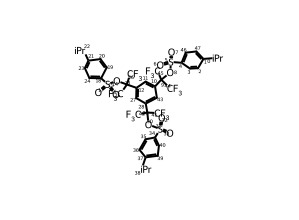 CC(C)c1ccc(S(=O)(=O)OC(c2cc(C(OS(=O)(=O)c3ccc(C(C)C)cc3)(C(F)(F)F)C(F)(F)F)cc(C(OS(=O)(=O)c3ccc(C(C)C)cc3)(C(F)(F)F)C(F)(F)F)c2)(C(F)(F)F)C(F)(F)F)cc1